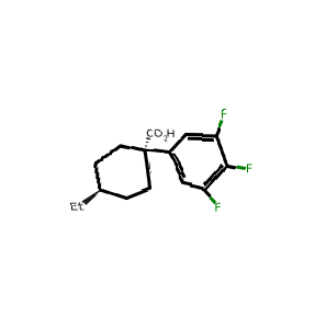 CC[C@H]1CC[C@@](C(=O)O)(c2cc(F)c(F)c(F)c2)CC1